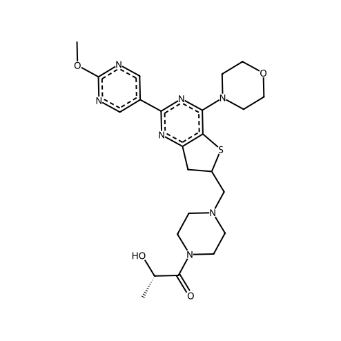 COc1ncc(-c2nc3c(c(N4CCOCC4)n2)SC(CN2CCN(C(=O)[C@H](C)O)CC2)C3)cn1